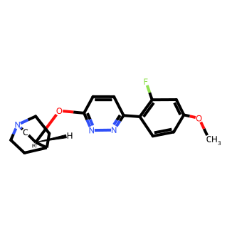 COc1ccc(-c2ccc(O[C@H]3CN4CCC3CC4)nn2)c(F)c1